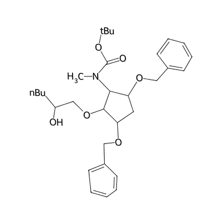 CCCCC(O)COC1C(OCc2ccccc2)CC(OCc2ccccc2)C1N(C)C(=O)OC(C)(C)C